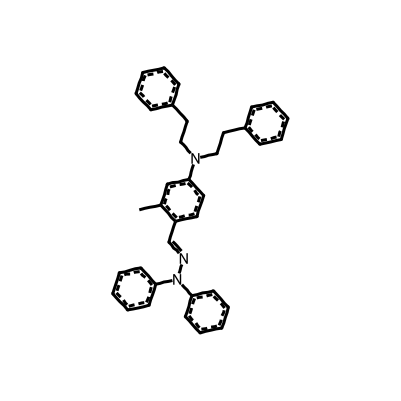 Cc1cc(N(CCc2ccccc2)CCc2ccccc2)ccc1C=NN(c1ccccc1)c1ccccc1